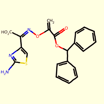 C=C(ON=C(C(=O)O)c1csc(N)n1)C(=O)OC(c1ccccc1)c1ccccc1